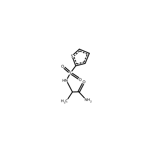 CC(NS(=O)(=O)c1cccs1)C(N)=O